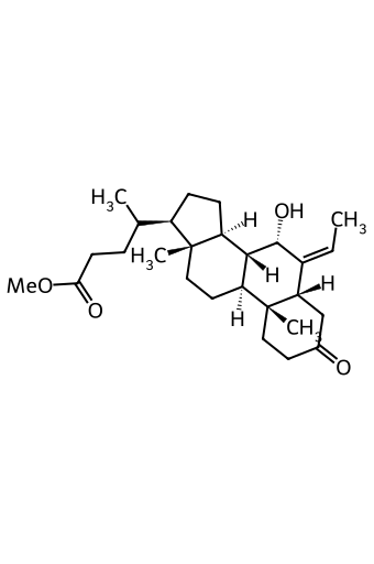 CC=C1[C@@H](O)[C@@H]2[C@H](CC[C@]3(C)[C@@H](C(C)CCC(=O)OC)CC[C@@H]23)[C@@]2(C)CCC(=O)C[C@@H]12